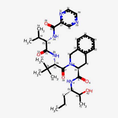 CCC[C@H](NC(=O)[C@@H]1Cc2ccccc2CN1C(=O)[C@@H](NC(=O)[C@@H](NC(=O)c1cnccn1)C(C)C)C(C)(C)C)C(C)O